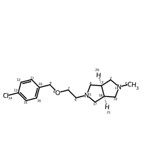 CN1C[C@@H]2CN(CCOCc3ccc(Cl)cc3)C[C@@H]2C1